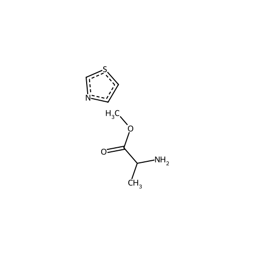 COC(=O)C(C)N.c1cscn1